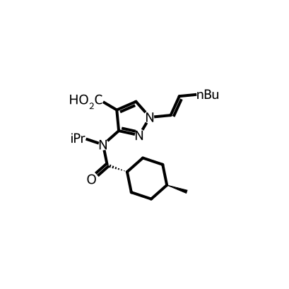 CCCC/C=C/n1cc(C(=O)O)c(N(C(=O)[C@H]2CC[C@H](C)CC2)C(C)C)n1